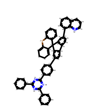 C1=C2Sc3ccccc3C3(C2=CCC1)c1cc(-c2ccc(-c4nc(-c5ccccc5)nc(-c5ccccc5)n4)cc2)ccc1-c1ccc(-c2cccc4cccnc24)cc13